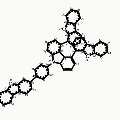 C1=CC2C(C(c3cccc4c3oc3ccccc34)=C1)c1c(-c3cccc4c3oc3ccccc34)cccc1N2c1ccc(-c2ccc3c(c2)oc2ccccc23)cc1